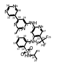 Cc1nc(Nc2cc(Nc3ccccc3S(=O)(=O)NC(C)C)c(C(F)(F)F)cn2)cc(-c2cncnc2)n1